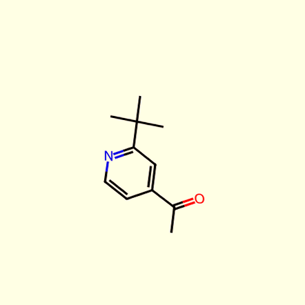 CC(=O)c1ccnc(C(C)(C)C)c1